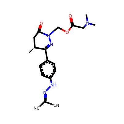 C[C@@H]1CC(=O)N(COC(=O)CN(C)C)N=C1c1ccc(NN=C(C#N)C#N)cc1